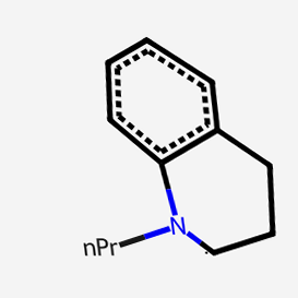 CCCN1[CH]CCc2ccccc21